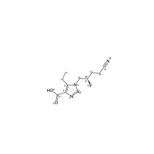 CCc1c(C(=O)O)nnn1C[C@H](F)CCC#N